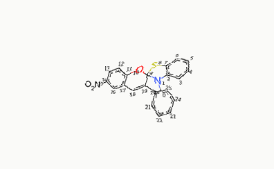 CN1c2ccccc2SC12Oc1ccc([N+](=O)[O-])cc1C=C2c1ccccc1